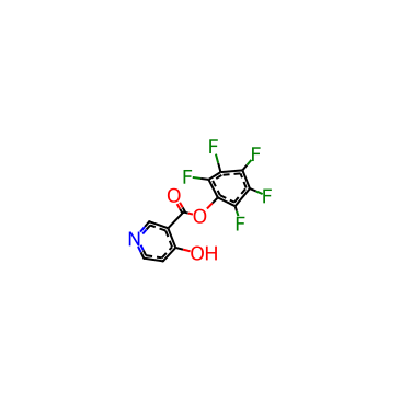 O=C(Oc1c(F)c(F)c(F)c(F)c1F)c1cnccc1O